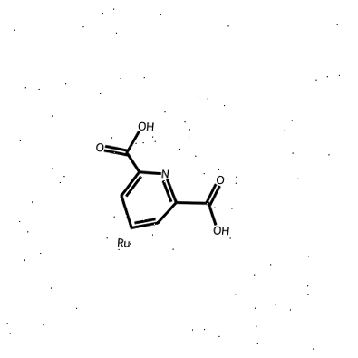 O=C(O)c1cccc(C(=O)O)n1.[Ru]